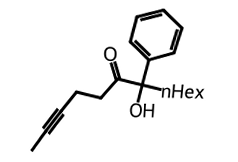 CC#CCCC(=O)C(O)(CCCCCC)c1ccccc1